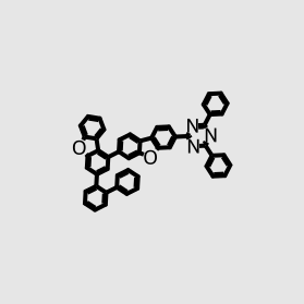 c1ccc(-c2nc(-c3ccccc3)nc(-c3ccc4c(c3)oc3cc(-c5cc(-c6ccccc6-c6ccccc6)cc6oc7ccccc7c56)ccc34)n2)cc1